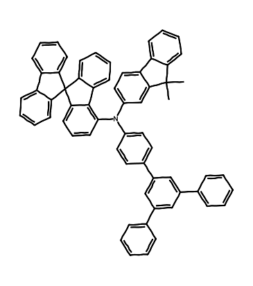 CC1(C)c2ccccc2-c2ccc(N(c3ccc(-c4cc(-c5ccccc5)cc(-c5ccccc5)c4)cc3)c3cccc4c3-c3ccccc3C43c4ccccc4-c4ccccc43)cc21